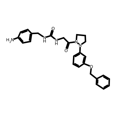 Nc1ccc(CNC(=O)NCC(=O)N2CCCN2c2cccc(OCc3ccccc3)c2)cc1